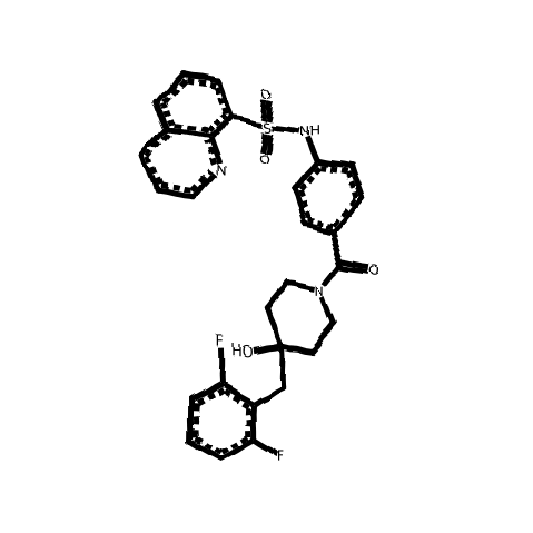 O=C(c1ccc(NS(=O)(=O)c2cccc3cccnc23)cc1)N1CCC(O)(Cc2c(F)cccc2F)CC1